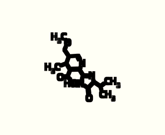 COCC1C=NC(C2=NC(C(C)C)C(=O)N2)=C(C(=O)O)C1C